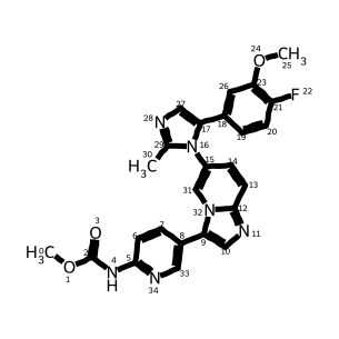 COC(=O)Nc1ccc(-c2cnc3ccc(-n4c(-c5ccc(F)c(OC)c5)cnc4C)cn23)cn1